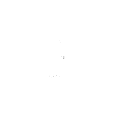 COc1ccc2c3c([nH]c2c1)CN(C)CC3